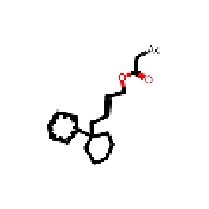 CC(=O)CC(=O)OC/C=C/CC1(c2ccccc2)CCCCC1